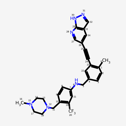 Cc1ccc(CNc2ccc(CN3CCN(C)CC3)c(C(F)(F)F)c2)cc1C#Cc1cnc2[nH]ncc2c1